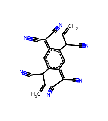 C=CC(C#N)c1cc(=C(C#N)C#N)c(C(C#N)C=C)cc1=C(C#N)C#N